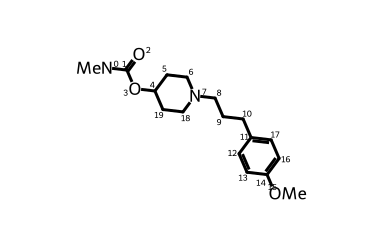 CNC(=O)OC1CCN(CCCc2ccc(OC)cc2)CC1